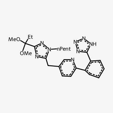 CCCCCn1nc(C(CC)(OC)OC)nc1Cc1ccc(-c2ccccc2-c2nnn[nH]2)nc1